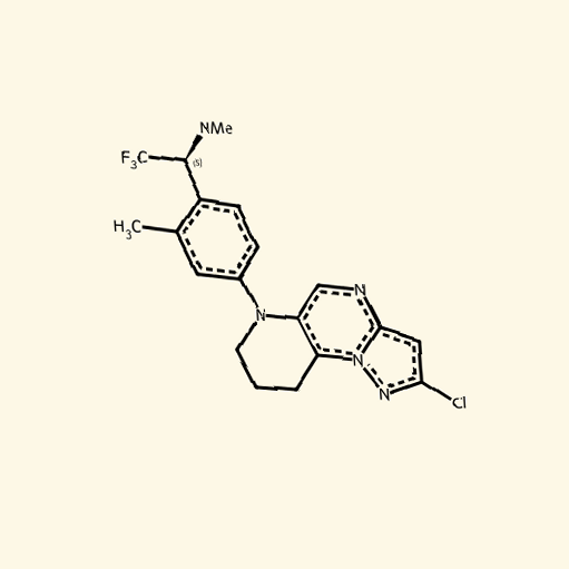 CN[C@@H](c1ccc(N2CCCc3c2cnc2cc(Cl)nn32)cc1C)C(F)(F)F